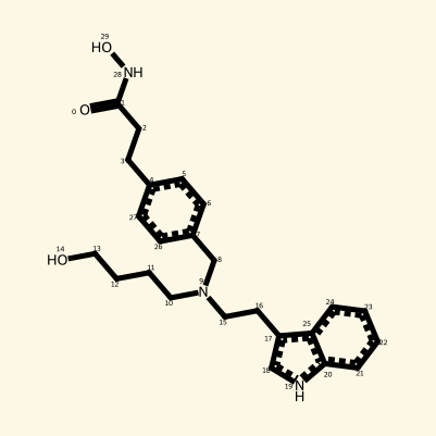 O=C(CCc1ccc(CN(CCCCO)CCc2c[nH]c3ccccc23)cc1)NO